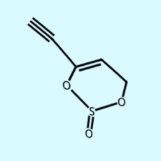 C#CC1=CCOS(=O)O1